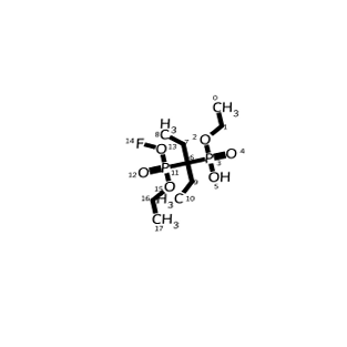 CCOP(=O)(O)C(CC)(CC)P(=O)(OF)OCC